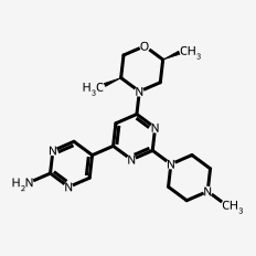 C[C@H]1CN(c2cc(-c3cnc(N)nc3)nc(N3CCN(C)CC3)n2)[C@@H](C)CO1